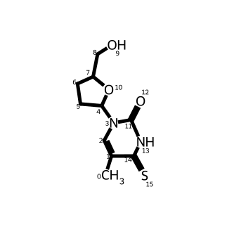 Cc1cn(C2CCC(CO)O2)c(=O)[nH]c1=S